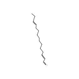 [CH]=CC=CCCCCCCCCC=CCC